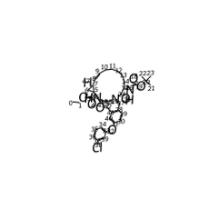 CCOC(=O)[C@@]12C[C@H]1/C=C\CCCCCC(NC(=O)OC(C)(C)C)C(=O)N1Cc3ccc(Oc4cccc(Cl)c4)cc3CC1C(=O)N2